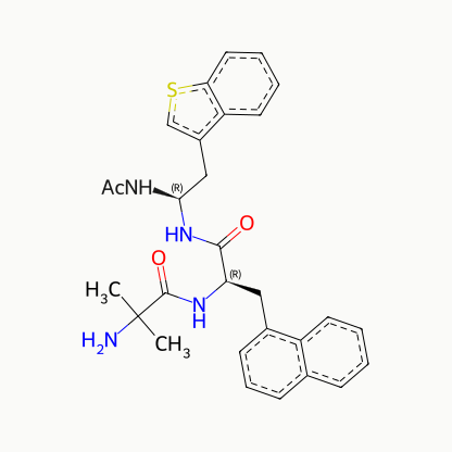 CC(=O)N[C@@H](Cc1csc2ccccc12)NC(=O)[C@@H](Cc1cccc2ccccc12)NC(=O)C(C)(C)N